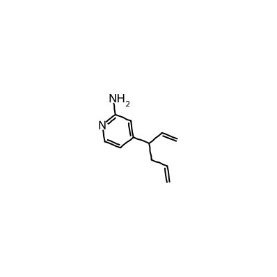 C=CCC(C=C)c1ccnc(N)c1